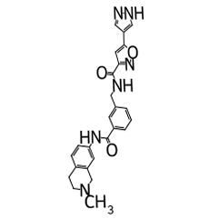 CN1CCc2ccc(NC(=O)c3cccc(CNC(=O)c4cc(-c5cn[nH]c5)on4)c3)cc2C1